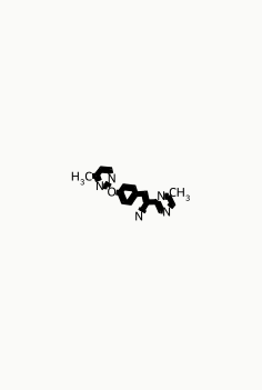 Cc1cncc(C(C#N)=Cc2ccc(Oc3nccc(C)n3)cc2)n1